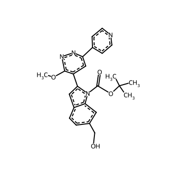 COc1nnc(-c2ccncc2)cc1-c1cc2ccc(CO)cc2n1C(=O)OC(C)(C)C